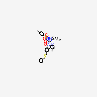 CSCCC(NC(=O)c1ccc(CSCc2ccccc2)cc1-c1ccccc1C)C(=O)NS(=O)(=O)c1ccc(C)cc1